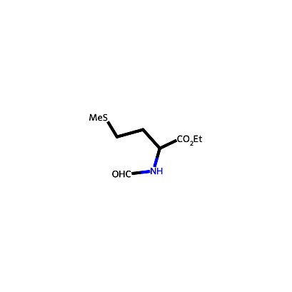 CCOC(=O)C(CCSC)NC=O